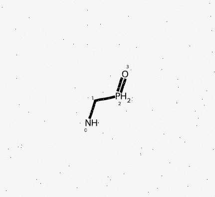 [NH]C[PH2]=O